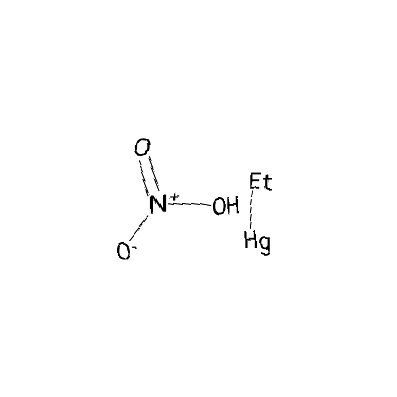 C[CH2][Hg].O=[N+]([O-])O